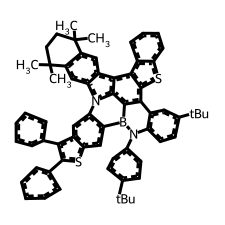 CC(C)(C)c1ccc(N2B3c4cc5sc(-c6ccccc6)c(-c6ccccc6)c5cc4-n4c5cc6c(cc5c5c7c(sc8ccccc87)c(c3c54)-c3cc(C(C)(C)C)ccc32)C(C)(C)CCC6(C)C)cc1